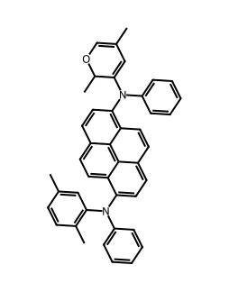 CC1=COC(C)C(N(c2ccccc2)c2ccc3ccc4c(N(c5ccccc5)c5cc(C)ccc5C)ccc5ccc2c3c54)=C1